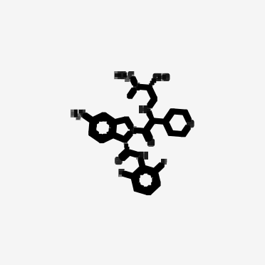 CN(C(=O)O)[C@H](C=O)CN[C@H](C(=O)N1Cc2cc(N)ccc2[C@H]1C(=O)Nc1c(F)cccc1F)C1CCOCC1